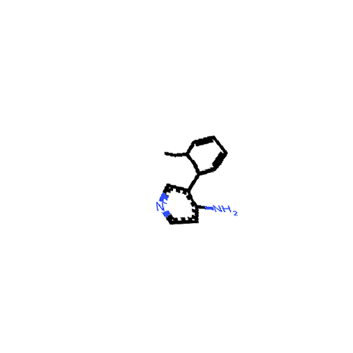 CC1C=CC=CC1c1cnccc1N